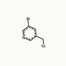 [2H]Cc1cncc(Br)c1